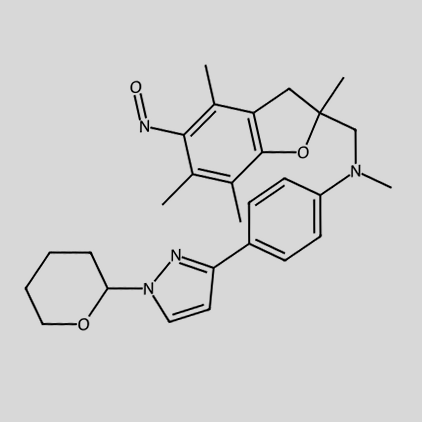 Cc1c(C)c2c(c(C)c1N=O)CC(C)(CN(C)c1ccc(-c3ccn(C4CCCCO4)n3)cc1)O2